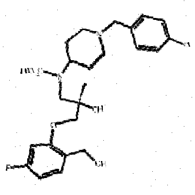 C[C@@](O)(COc1cc(F)ccc1CO)CN(C(=O)O)C1CCN(Cc2ccc(Cl)cc2)CC1